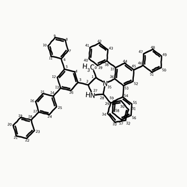 CC1C(c2cc(-c3ccccc3)cc(-c3ccc(-c4ccccc4)cc3)c2)NC(c2ccccc2)N1c1c(-c2ccccc2)cc(-c2ccccc2)cc1-c1ccccc1